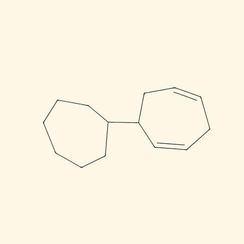 C1=CCC(C2CCCCCC2)C=CC1